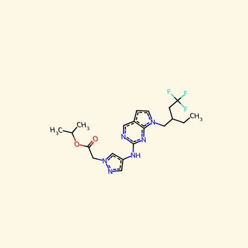 CCC(Cn1ccc2cnc(Nc3cnn(CC(=O)OC(C)C)c3)nc21)CC(F)(F)F